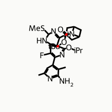 CSC1N=C(N2CC3CC(C2)N3C(=O)OC(C)(C)C)c2c(OC(C)C)nc(-c3cc(C)nc(N)c3C)c(F)c2N1